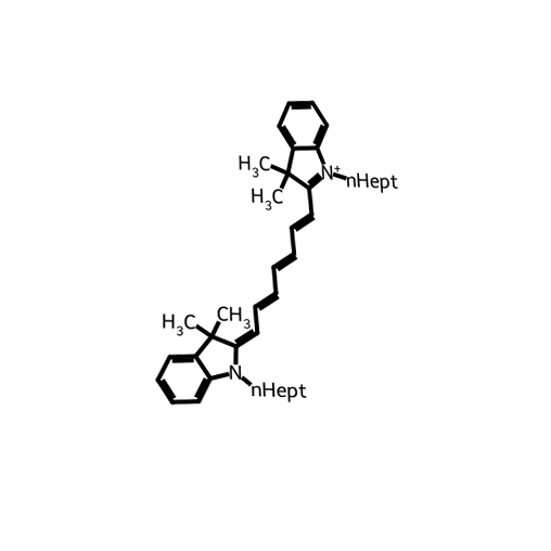 CCCCCCCN1/C(=C/C=C/C=C/C=C/C2=[N+](CCCCCCC)c3ccccc3C2(C)C)C(C)(C)c2ccccc21